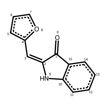 O=C1C(=Cc2ccco2)Nc2ccccc21